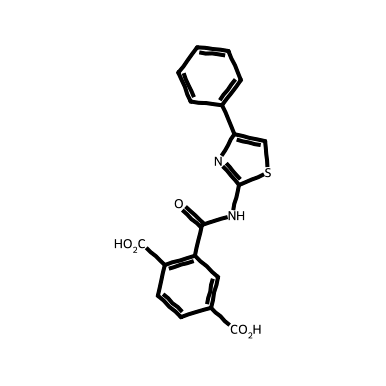 O=C(O)c1ccc(C(=O)O)c(C(=O)Nc2nc(-c3ccccc3)cs2)c1